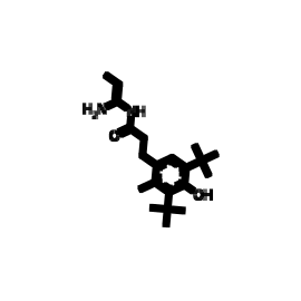 CC=C(N)NC(=O)CCc1cc(C(C)(C)C)c(O)c(C(C)(C)C)c1C